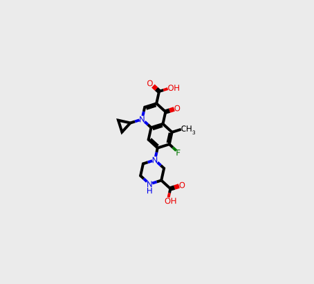 Cc1c(F)c(N2CCNC(C(=O)O)C2)cc2c1c(=O)c(C(=O)O)cn2C1CC1